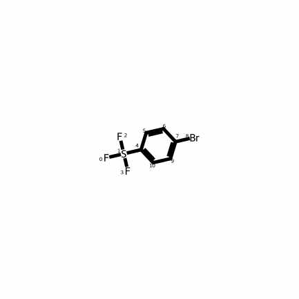 FS(F)(F)c1ccc(Br)cc1